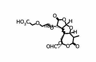 CCCC[C@@H]1CC(OC=O)[C@@]23C[C@@H](C)OC(=O)C(C)[C@H]2O[C@H]2OC(=O)[C@@H](OCCOCC(=O)O)C123